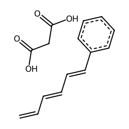 C=CC=CC=Cc1ccccc1.O=C(O)CC(=O)O